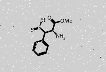 CC[S@](=S)C(c1ccccc1)[C@H](N)C(=O)OC